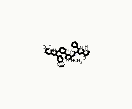 C=Nc1ncc(-c2cccc(-c3nc4[nH]c(=O)ccc4cc3-c3ccc4nccnc4c3)c2)cc1/C=C(\C)c1cc2c(=O)cc[nH]c2nc1-c1ccccc1